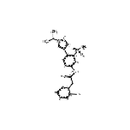 CC(C)n1cc(-c2ccc(NC(=O)Cc3ccccc3F)cc2S(N)(=O)=O)cn1